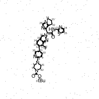 CC(C)(C)OC(=O)N1CCN(c2ccc(-c3ccc4cn(C(C(=O)Nc5nccs5)c5ncn6c5CCC6)nc4c3F)cn2)CC1